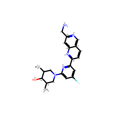 CC1CN(c2cc(F)cc(-c3ccc4cnc(CN)cc4n3)n2)CC(C)C1O